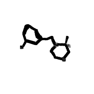 C[C@@H]1COCCN1Cc1cccc(Br)c1